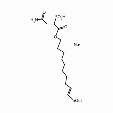 CCCCCCCCC=CCCCCCCCCOC(=O)C(CC(N)=O)S(=O)(=O)O.[Na]